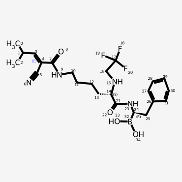 CC(C)/C=C(\C#N)C(=O)NCCCC[C@H](NCC(F)(F)F)C(=O)N[C@@H](Cc1ccccc1)B(O)O